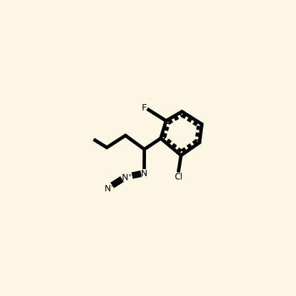 CCCC(N=[N+]=[N-])c1c(F)cccc1Cl